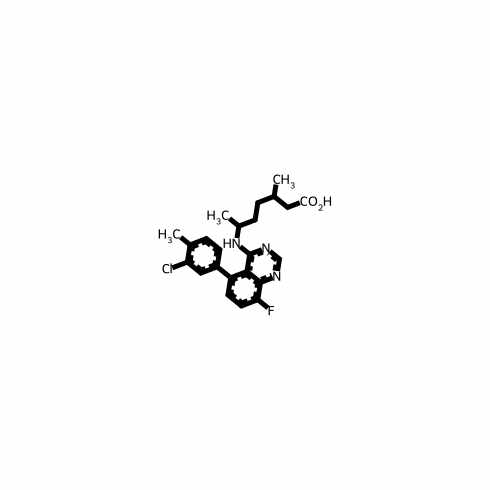 Cc1ccc(-c2ccc(F)c3ncnc(NC(C)CCC(C)CC(=O)O)c23)cc1Cl